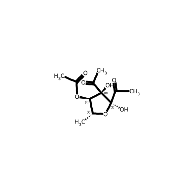 CC(=O)O[C@@H]1[C@@H](C)O[C@](O)(C(C)=O)[C@@]1(O)C(C)=O